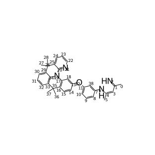 CC(=N)/C=C(/C)Nc1cccc(Oc2ccc3c(c2)N2c4ncccc4C(C)(C)c4cccc(c42)C3(C)C)c1